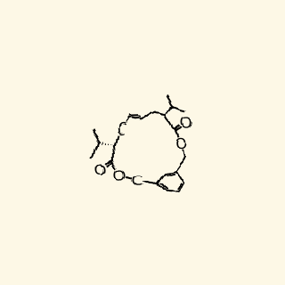 CC(C)[C@@H]1C/C=C/C[C@@H](C(C)C)C(=O)OCc2cccc(c2)COC1=O